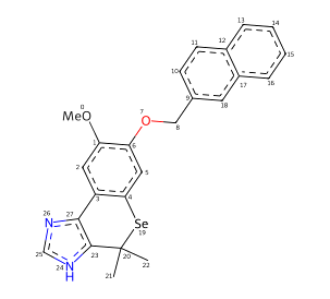 COc1cc2c(cc1OCc1ccc3ccccc3c1)[Se]C(C)(C)c1[nH]cnc1-2